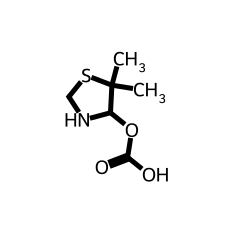 CC1(C)SCNC1OC(=O)O